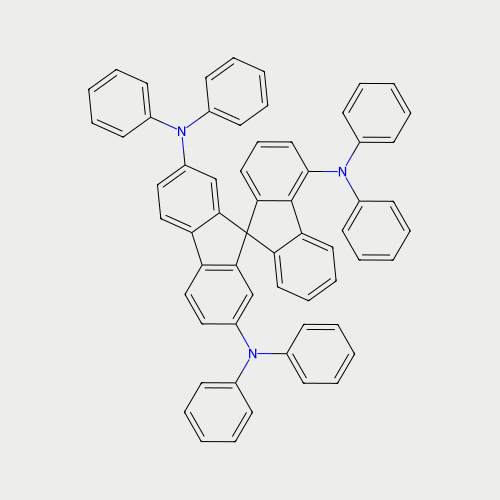 c1ccc(N(c2ccccc2)c2ccc3c(c2)C2(c4cc(N(c5ccccc5)c5ccccc5)ccc4-3)c3ccccc3-c3c(N(c4ccccc4)c4ccccc4)cccc32)cc1